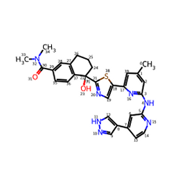 Cc1cc(Nc2cc(-c3cn[nH]c3)ccn2)nc(-c2cnc([C@@]3(O)CCCc4cc(C(=O)N(C)C)ccc43)s2)c1